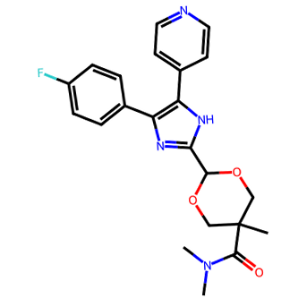 CN(C)C(=O)C1(C)COC(c2nc(-c3ccc(F)cc3)c(-c3ccncc3)[nH]2)OC1